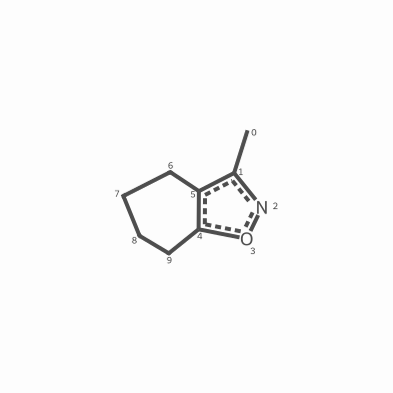 Cc1noc2c1CCCC2